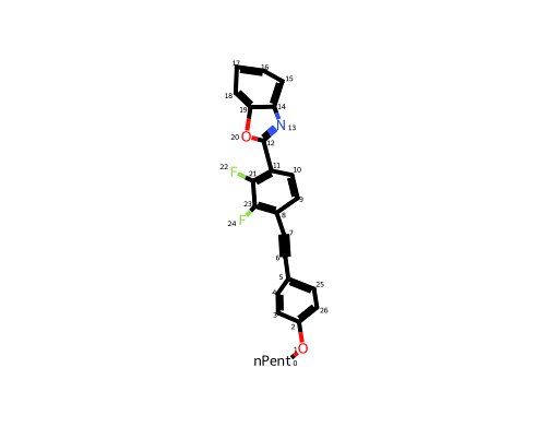 CCCCCOc1ccc(C#Cc2ccc(-c3nc4ccccc4o3)c(F)c2F)cc1